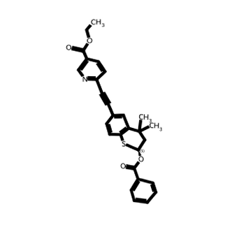 CCOC(=O)c1ccc(C#Cc2ccc3c(c2)C(C)(C)C[C@@H](OC(=O)c2ccccc2)S3)nc1